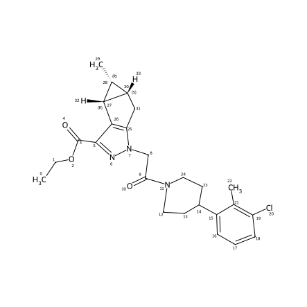 CCOC(=O)c1nn(CC(=O)N2CCC(c3cccc(Cl)c3C)CC2)c2c1[C@@H]1[C@H](C)[C@@H]1C2